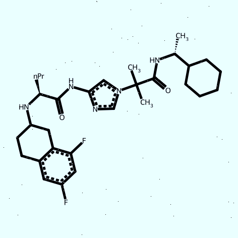 CCC[C@H](NC1CCc2cc(F)cc(F)c2C1)C(=O)Nc1cn(C(C)(C)C(=O)N[C@H](C)C2CCCCC2)cn1